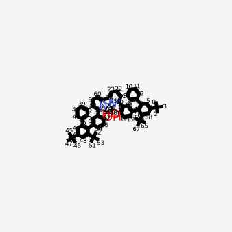 CC(C)(C)c1cc(-c2ccccc2)c(-c2ccc(O)c(-c3cccc4[n+]3[Zr]([CH3])([CH3])[n+]3c(-c5cc(-c6c(-c7ccccc7)cc(C(C)(C)C)cc6C(C)(C)C)ccc5O)cccc3-4)c2)c(C(C)(C)C)c1